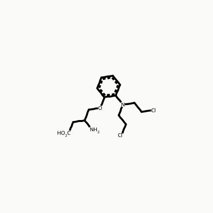 NC(COc1ccccc1N(CCCl)CCCl)CC(=O)O